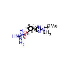 COCCN(C)c1ncc(-c2cccc(COC(=O)NC(=N)N)c2)cn1